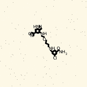 NC(=O)c1cc(Cl)cc(CNCCCCOCCNc2cc(-c3cnoc3)cc3[nH]ncc23)c1